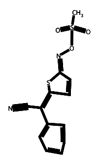 CS(=O)(=O)O/N=C1C=C/C(=C(/C#N)c2ccccc2)S\1